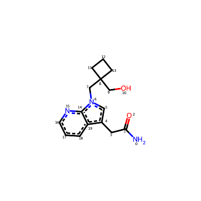 NC(=O)Cc1cn(CC2(CO)CCC2)c2ncccc12